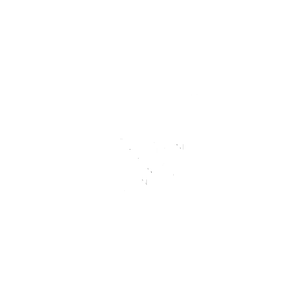 COc1ccc(NC(=O)C(=O)N2N=C(C3CCCCC3)CC2(O)C(F)(F)F)cc1